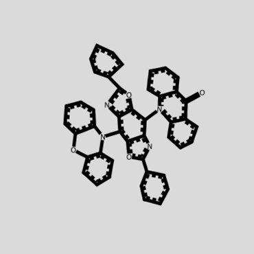 O=c1c2ccccc2n(-c2c3nc(-c4ccccc4)oc3c(N3c4ccccc4Oc4ccccc43)c3nc(-c4ccccc4)oc23)c2ccccc12